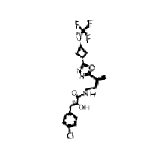 C=C(CCNC(=O)[C@@H](O)Cc1ccc(Cl)cc1)c1nnc([C@H]2C[C@@H](OC(F)(F)F)C2)o1